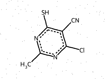 Cc1nc(S)c(C#N)c(Cl)n1